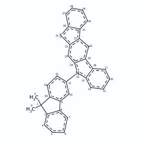 CC1(C)c2ccccc2-c2cc(-n3c4ccccc4c4cc5c(cc43)sc3ccccc35)ccc21